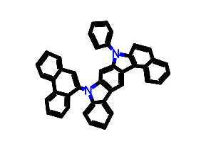 c1ccc(-n2c3cc4c(cc3c3c5ccccc5ccc32)c2ccccc2n4-c2cc3ccccc3c3ccccc23)cc1